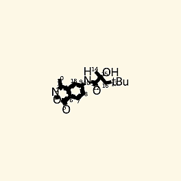 Cc1noc(=O)c2ccc(NC(=O)C(C)(O)CC(C)(C)C)cc12